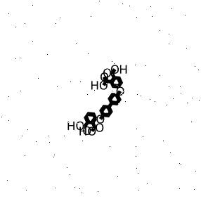 O=C(O)c1ccc(Oc2ccc(-c3ccc(Oc4cccc(C(=O)O)c4C(=O)O)cc3)cc2)cc1C(=O)O